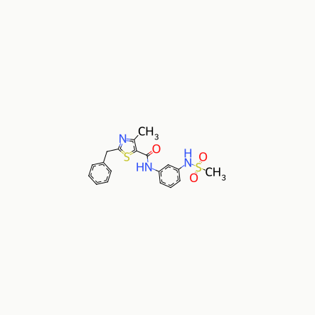 Cc1nc(Cc2ccccc2)sc1C(=O)Nc1cccc(NS(C)(=O)=O)c1